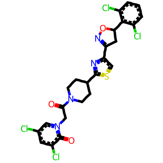 O=C(Cn1cc(Cl)cc(Cl)c1=O)N1CCC(c2nc(C3=NOC(c4c(Cl)cccc4Cl)C3)cs2)CC1